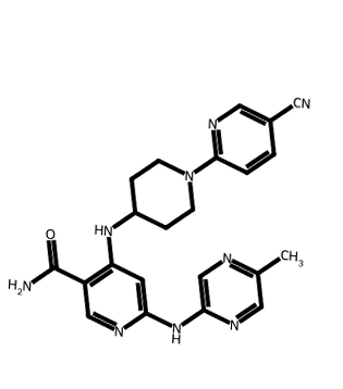 Cc1cnc(Nc2cc(NC3CCN(c4ccc(C#N)cn4)CC3)c(C(N)=O)cn2)cn1